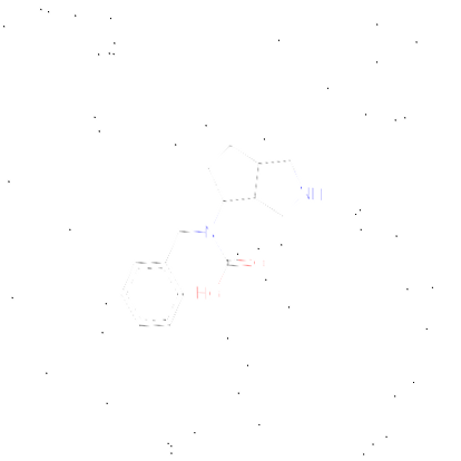 O=C(O)N(Cc1ccccc1)C1CCC2CNCC21